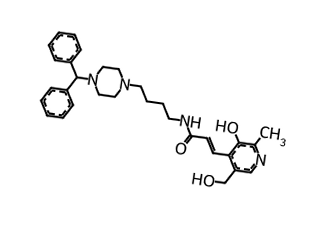 Cc1ncc(CO)c(C=CC(=O)NCCCCN2CCN(C(c3ccccc3)c3ccccc3)CC2)c1O